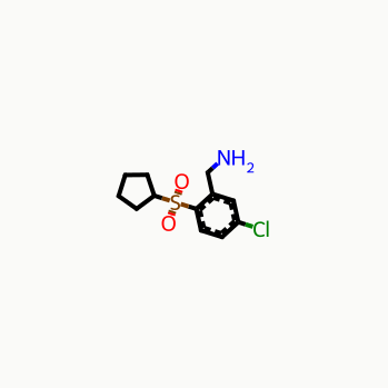 NCc1cc(Cl)ccc1S(=O)(=O)C1CCCC1